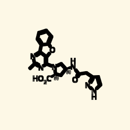 Cc1nc(N2C[C@@H](NC(=O)Cc3cc[nH]n3)C[C@H]2C(=O)O)c2oc3ccccc3c2n1